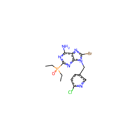 CCP(=O)(CC)c1nc(N)c2nc(Br)n(Cc3ccc(Cl)nc3)c2n1